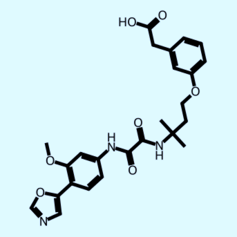 COc1cc(NC(=O)C(=O)NC(C)(C)CCOc2cccc(CC(=O)O)c2)ccc1-c1cnco1